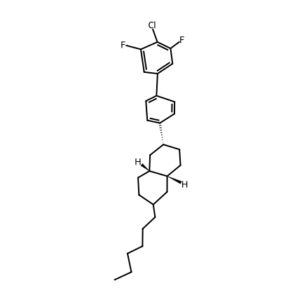 CCCCCCC1CC[C@@H]2C[C@H](c3ccc(-c4cc(F)c(Cl)c(F)c4)cc3)CC[C@@H]2C1